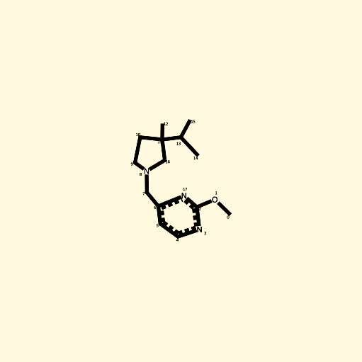 COc1nccc(CN2CCC(C)(C(C)C)C2)n1